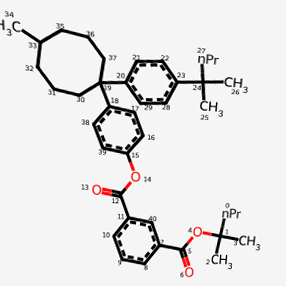 CCCC(C)(C)OC(=O)c1cccc(C(=O)Oc2ccc(C3(c4ccc(C(C)(C)CCC)cc4)CCCC(C)CCC3)cc2)c1